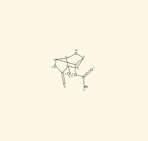 CC(C)C(=O)OC1C2CC3(C(F)(F)F)C(=O)OC1C3O2